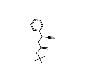 CC(C)(C)OC(=O)CC(C#N)c1ccccc1